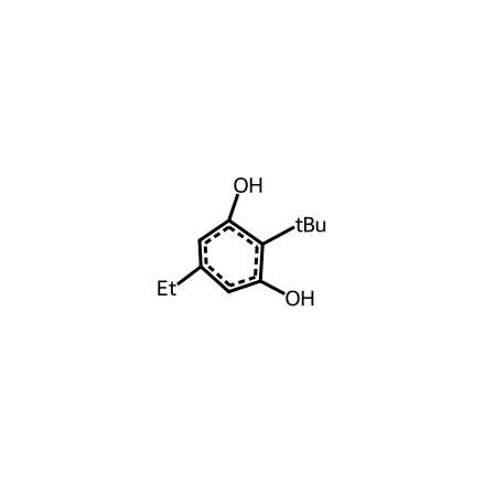 CCc1cc(O)c(C(C)(C)C)c(O)c1